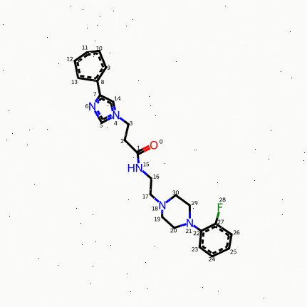 O=C(CCn1cnc(-c2ccccc2)c1)NCCN1CCN(c2ccccc2F)CC1